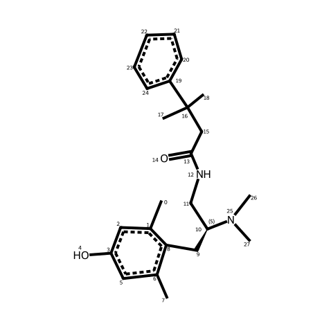 Cc1cc(O)cc(C)c1C[C@@H](CNC(=O)CC(C)(C)c1ccccc1)N(C)C